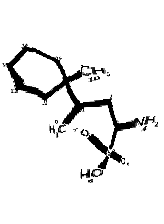 CC(CC(N)S(=O)(=O)O)C1(C)CCCCC1